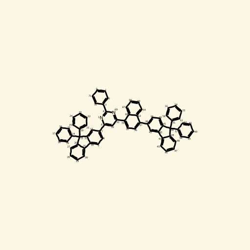 c1ccc(-c2nc(-c3ccc4c(c3)C(c3ccccc3)(c3ccccc3)c3ccccc3-4)cc(-c3ccc(-c4ccc5c(c4)-c4ccccc4C5(c4ccccc4)c4ccccc4)c4ccccc34)n2)cc1